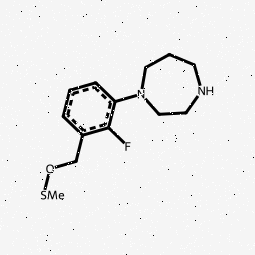 CSOCc1cccc(N2CCCNCC2)c1F